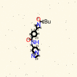 CC(C)(C)C(=O)N1CC(c2ccc(C(=O)NCc3ccn4ccnc4c3)cc2)C1